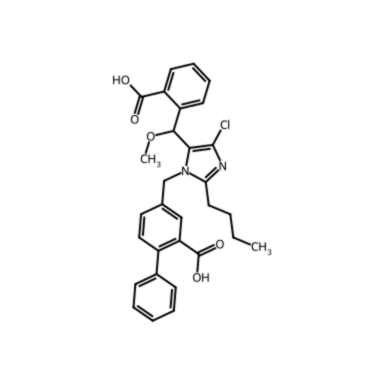 CCCCc1nc(Cl)c(C(OC)c2ccccc2C(=O)O)n1Cc1ccc(-c2ccccc2)c(C(=O)O)c1